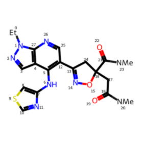 CCn1ncc2c(Nc3cscn3)c(C3=NOC(CC(=O)NC)(C(=O)NC)C3)cnc21